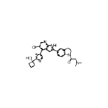 CN(C)CC(=O)N1CCc2cc(-c3cc4c(-c5cnc(C6(O)CCC6)s5)c(Cl)cnc4[nH]3)ccc21